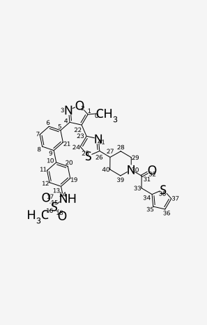 Cc1onc(-c2cccc(-c3ccc(NS(C)(=O)=O)cc3)c2)c1-c1csc(C2CCN(C(=O)Cc3cccs3)CC2)n1